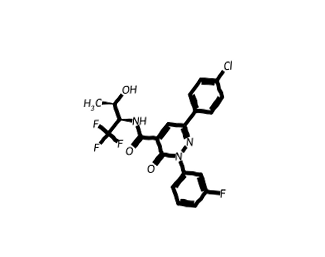 C[C@@H](O)[C@@H](NC(=O)c1cc(-c2ccc(Cl)cc2)nn(-c2cccc(F)c2)c1=O)C(F)(F)F